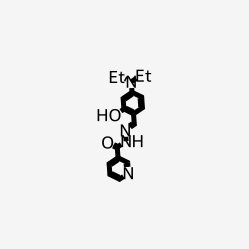 CCN(CC)c1ccc(/C=N/NC(=O)c2cccnc2)c(O)c1